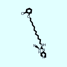 N#CN/C(=N\c1ccncc1)NCCCCCCCCCCCCOc1ccccc1Cl